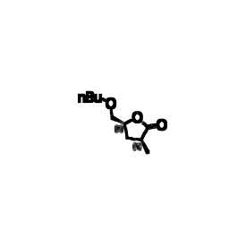 CCCCOC[C@@H]1C[C@H](C)C(=O)O1